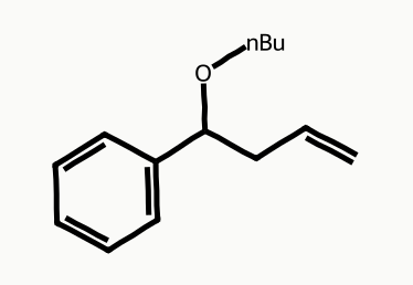 C=CCC(OCCCC)c1ccccc1